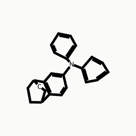 c1ccc(N(c2ccccc2)c2ccc3c(c2)C2CCC3CC2)cc1